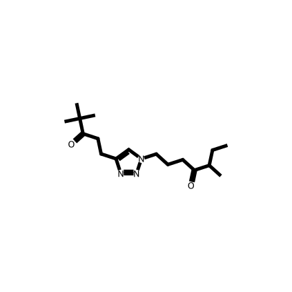 CCC(C)C(=O)CCCn1cc(CCC(=O)C(C)(C)C)nn1